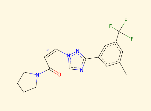 Cc1cc(-c2ncn(/C=C\C(=O)N3CCCC3)n2)cc(C(F)(F)F)c1